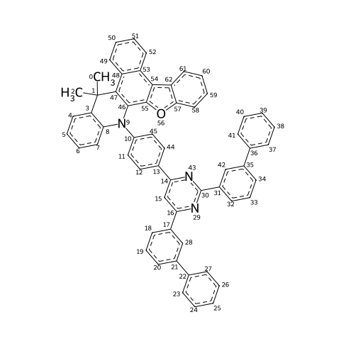 CC1(C)c2ccccc2N(c2ccc(-c3cc(-c4cccc(-c5ccccc5)c4)nc(-c4cccc(-c5ccccc5)c4)n3)cc2)c2c1c1ccccc1c1c2oc2ccccc21